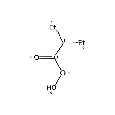 CCC(CC)C(=O)OO